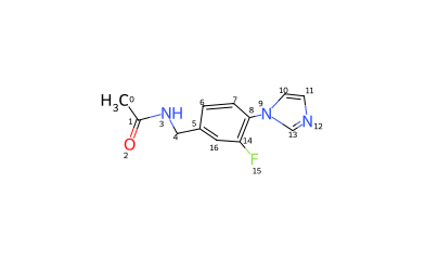 CC(=O)NCc1ccc(-n2ccnc2)c(F)c1